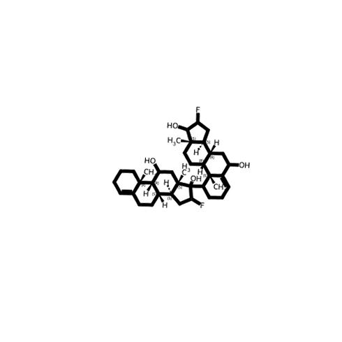 C[C@]12CCCC=C1CC[C@@H]1[C@H]2C(O)C[C@@]2(C)[C@H]1CC(F)C2(O)C1CCC=C2C(O)C[C@@H]3[C@@H](CC[C@]4(C)C(O)C(F)C[C@@H]34)[C@]21C